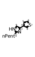 CCCCCc1nc(-c2ccsc2)c[nH]1